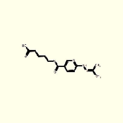 CC(C)=NNc1ccc(C(=O)NCCCCC(=O)O)cn1